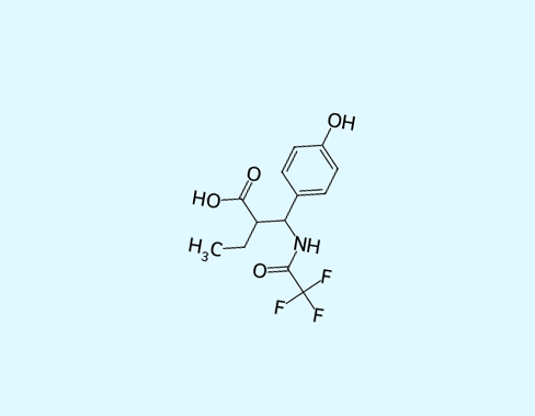 CCC(C(=O)O)C(NC(=O)C(F)(F)F)c1ccc(O)cc1